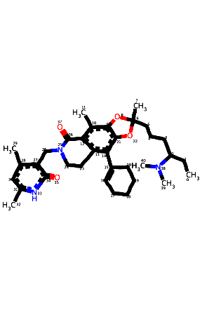 CCC(CCCC1(C)Oc2c(C)c3c(c(C4=CCCCC4)c2O1)CCN(Cc1c(C)cc(C)[nH]c1=O)C3=O)N(C)C